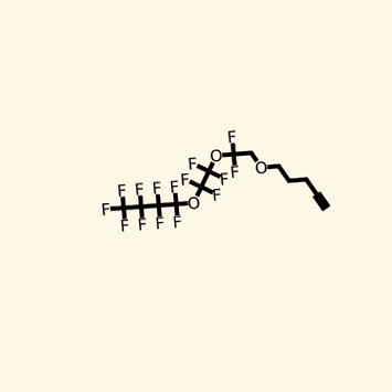 C#CCCCOCC(F)(F)OC(F)(F)C(F)(F)OC(F)(F)C(F)(F)C(F)(F)C(F)(F)F